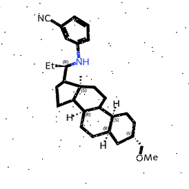 CC[C@@H](Nc1cccc(C#N)c1)C1CCC2[C@@H]3CC[C@@H]4C[C@@H](COC)CC[C@@H]4C3CC[C@@]21C